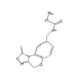 C=C1ON=C2COc3ccc(CNC(=O)OC(C)(C)C)cc3N12